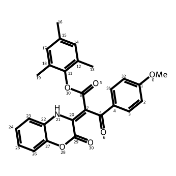 COc1ccc(C(=O)C(C(=O)Oc2c(C)cc(C)cc2C)=C2Nc3ccccc3OC2=O)cc1